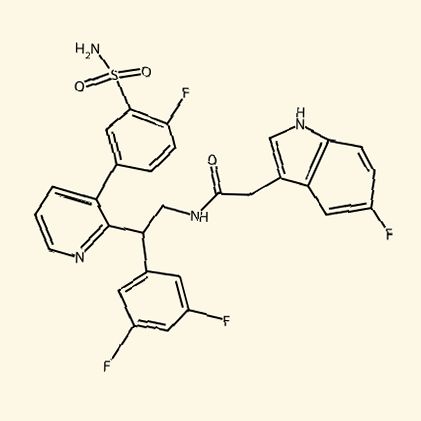 NS(=O)(=O)c1cc(-c2cccnc2C(CNC(=O)Cc2c[nH]c3ccc(F)cc23)c2cc(F)cc(F)c2)ccc1F